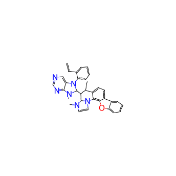 C=Cc1ccccc1N1c2cncnc2N(C)C1C1C(C)c2ccc3c(oc4ccccc43)c2N2C=CN(C)C12